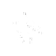 CC(=O)N(c1ccc(C#N)cn1)[C@@H]1CN[C@H](C(=O)N2CCSC2)C1.Cl